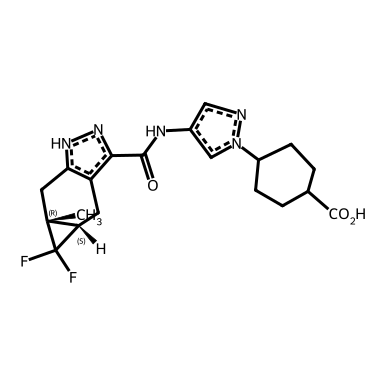 C[C@@]12Cc3[nH]nc(C(=O)Nc4cnn(C5CCC(C(=O)O)CC5)c4)c3C[C@@H]1C2(F)F